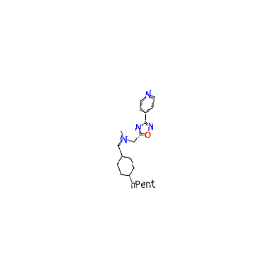 CCCCCC1CCC(CN(C)Cc2nc(-c3ccncc3)no2)CC1